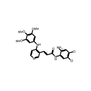 COc1cc(Nc2ccncc2/C=C/C(=O)Nc2cc(Cl)c(Cl)cc2N)cc(OC)c1OC